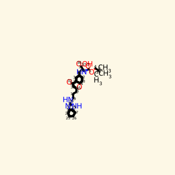 CC(C)(C)COC(=O)N[C@@H](Cc1ccc2oc(CCCNc3nc4ccccc4[nH]3)cc(=O)c2c1)C(=O)O